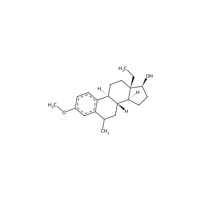 CC[C@]12CC[C@@H]3c4ccc(OC)cc4C(C)C[C@H]3[C@@H]1CC[C@@H]2O